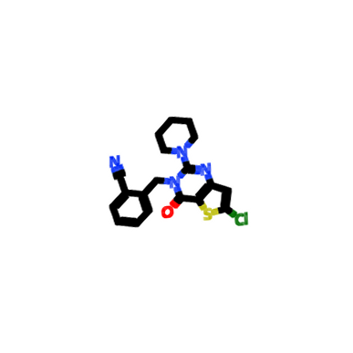 N#Cc1ccccc1Cn1c(N2CCCCC2)nc2cc(Cl)sc2c1=O